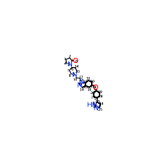 O=C1CCCN1C1CCN(CCn2ncc3cc(Oc4ccc(-c5ccn[nH]5)cc4)ccc32)CC1